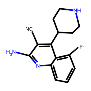 CC(C)c1cccc2nc(N)c(C#N)c(C3CCNCC3)c12